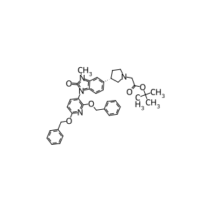 Cn1c(=O)n(-c2ccc(OCc3ccccc3)nc2OCc2ccccc2)c2ccc([C@@H]3CCN(CC(=O)OC(C)(C)C)C3)cc21